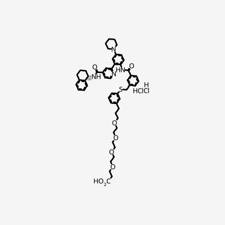 Cl.Cl.O=C(O)CCOCCOCCOCCOCCCc1cccc(SCc2cccc(C(=O)Nc3ccc(N4CCCCC4)cc3-c3cc(C(=O)N[C@H]4CCCc5ccccc54)ccn3)c2)c1